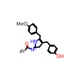 COc1ccc(CC2=C(Cc3ccc(O)cc3)C/C(=N/C(=O)C(C)C)N2)cc1